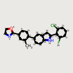 Cc1cc(-c2ncco2)ccc1-c1ccc2[nH]c(-c3c(F)cccc3Cl)cc2c1